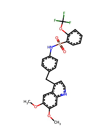 COc1cc2nccc(Cc3ccc(NS(=O)(=O)c4ccccc4OC(F)(F)F)cc3)c2cc1OC